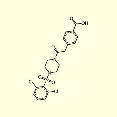 O=C(O)c1ccc(CC(=O)N2CCN(S(=O)(=O)c3c(Cl)cccc3Cl)CC2)cc1